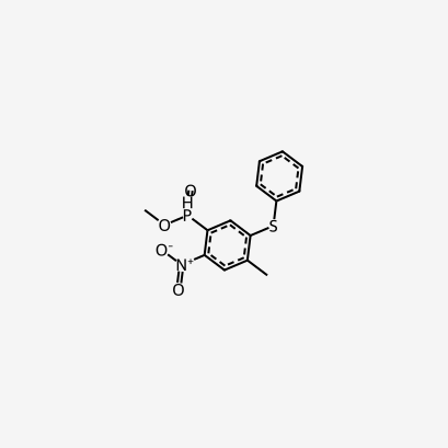 CO[PH](=O)c1cc(Sc2ccccc2)c(C)cc1[N+](=O)[O-]